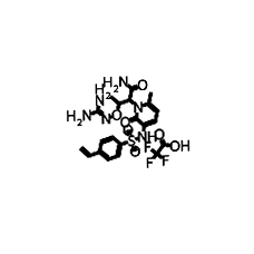 C=Cc1ccc(S(=O)(=O)Nc2ccc(C)n(C(C(N)=O)C(C)ON=C(N)N)c2=O)cc1.O=C(O)C(F)(F)F